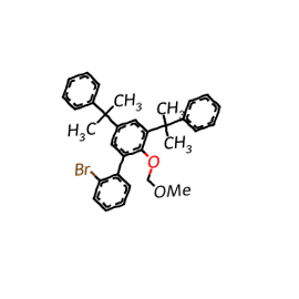 COCOc1c(-c2ccccc2Br)cc(C(C)(C)c2ccccc2)cc1C(C)(C)c1ccccc1